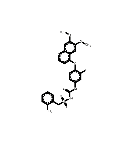 COc1cc2nccc(Oc3ccc(NC(=O)NS(=O)(=O)Cc4ccccc4C)cc3F)c2cc1OC